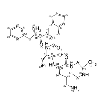 CC(C)C[C@@H](NC(=O)[C@@H](Cc1ccccc1)NC(=O)[C@H](N)Cc1ccccc1)C(=O)N[C@H](CCCN)C(=O)N1CCNC(C)C1